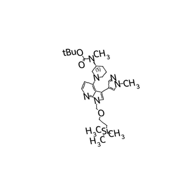 CN(C(=O)OC(C)(C)C)[C@H]1CCCN(c2ccnc3c2c(-c2cnn(C)c2)cn3COCC[Si](C)(C)C)C1